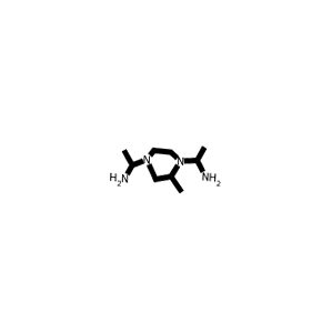 CC(N)N1CCN(C(C)N)C(C)C1